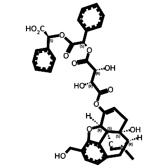 CN1CC[C@]23c4c5ccc(CO)c4O[C@H]2C(OC(=O)[C@H](O)[C@@H](O)C(=O)O[C@H](C(=O)O[C@H](C(=O)O)c2ccccc2)c2ccccc2)=CC[C@@]3(O)[C@H]1C5